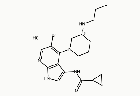 Cl.O=C(Nc1c[nH]c2ncc(Br)c(N3CCC[C@@H](NCCF)C3)c12)C1CC1